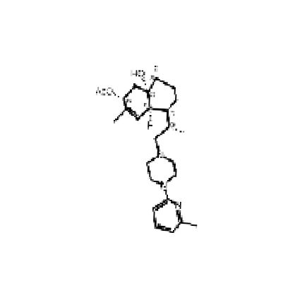 CC(=O)O[C@@H]1[C][C@@]2(O)[C@H](C)CC[C@@H]([C@H](C)CN3CCN(c4cccc(C)n4)CC3)[C@H]2C=C1C